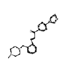 CN1CCN(Cc2ccccc2C=CC(=O)c2ccc(-n3ccnc3)cc2)CC1